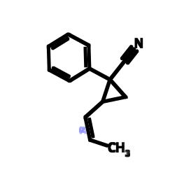 C/C=C\C1CC1(C#N)c1ccccc1